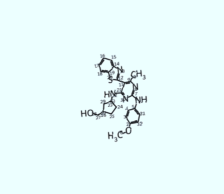 COc1ccc(Nc2nc(C)c(-c3nc4ccccc4s3)c(N[C@H]3CC[C@@H](CO)C3)n2)cc1